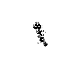 N#Cc1cc(NC(=O)c2cnn(-c3cccc4c(N)nccc34)c2C(F)(F)F)cnc1-n1nccn1